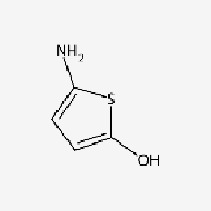 Nc1ccc(O)s1